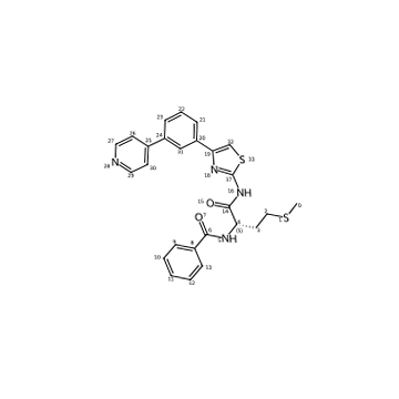 CSCC[C@H](NC(=O)c1ccccc1)C(=O)Nc1nc(-c2cccc(-c3ccncc3)c2)cs1